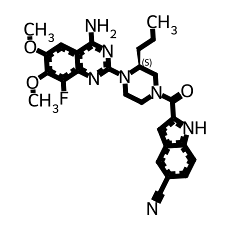 CCC[C@H]1CN(C(=O)c2cc3cc(C#N)ccc3[nH]2)CCN1c1nc(N)c2cc(OC)c(OC)c(F)c2n1